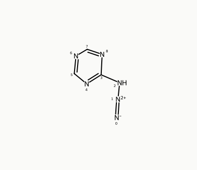 [N-]=[N+2]Nc1ncncn1